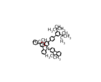 CC(C)(C)c1cc(-c2ccc(-c3cc(C(C)(C)C)cc(C(C)(C)C)c3)cc2)cc(N(c2ccc3c(c2)C(C)(C)c2ccccc2-3)c2ccccc2-c2cccc(C3CCCCC3)c2)c1